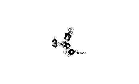 COCOc1cc(Cl)c(C(F)(F)F)c(N2CCc3c(nc(OC[C@@]45CCCN4C[C@H](F)C5)nc3N3CC4CC5(C(=O)OC(C)(C)C)CC(C3)N45)C2=O)c1